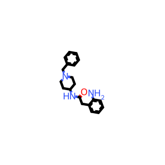 Nc1ccccc1CC(=O)NC1CCN(Cc2ccccc2)CC1